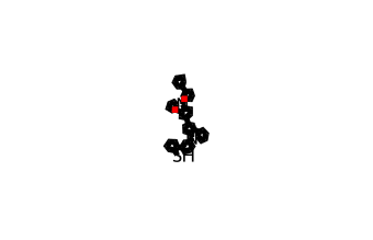 Sc1ccccc1-c1cccc(-n2c3ccccc3c3cc(-c4ccc5c(c4)c4ccccc4n5-c4cccc(-c5ccccc5)c4)ccc32)c1